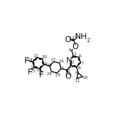 NC(=O)OCc1ccc(C2CC2)c(C(=O)C2CCC(c3ccc(F)c(F)c3F)CC2)n1